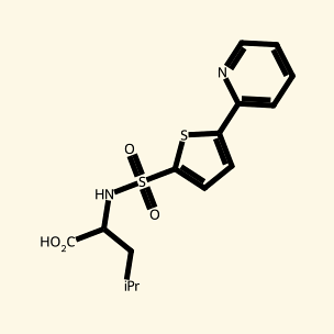 CC(C)CC(NS(=O)(=O)c1ccc(-c2ccccn2)s1)C(=O)O